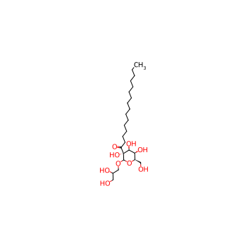 CCCCCCCCCCCCCCCC(=O)[C@]1(O)C(OCC(O)CO)O[C@H](CO)[C@H](O)[C@@H]1O